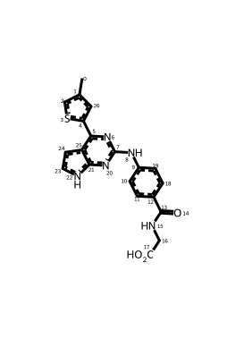 Cc1csc(-c2nc(Nc3ccc(C(=O)NCC(=O)O)cc3)nc3[nH]ccc23)c1